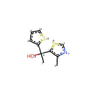 Cc1ncsc1C(C)(O)c1cccs1